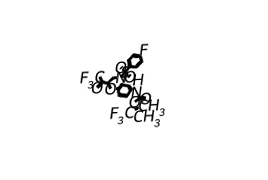 CC(C)(OC(=O)Nc1ccc2c(c1)N(S(=O)(=O)c1ccc(F)cc1)CC(C(=O)C(F)(F)F)O2)C(F)(F)F